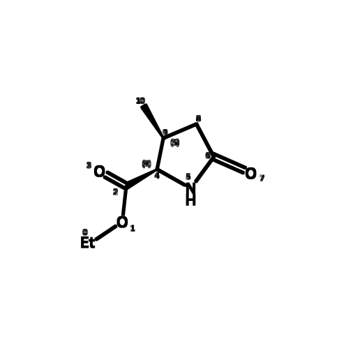 CCOC(=O)[C@@H]1NC(=O)C[C@@H]1C